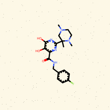 CN1CCN(C)C(C)(c2nc(O)c(O)c(C(=O)NCc3ccc(F)cc3)n2)C1